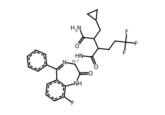 NC(=O)C(CC1CC1)C(CCC(F)(F)F)C(=O)N[C@H]1N=C(c2ccccc2)c2cccc(F)c2NC1=O